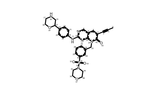 CC#Cc1cc2cnc(Nc3ccc(C4CNCCO4)cc3)nc2n(Cc2cccc(S(=O)(=O)N3CCOCC3)c2)c1=O